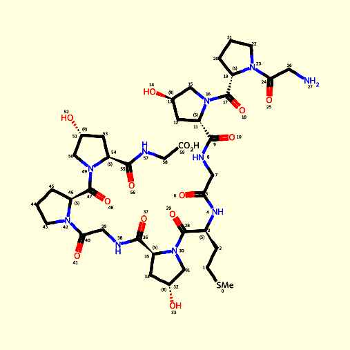 CSCC[C@H](NC(=O)CNC(=O)[C@@H]1C[C@@H](O)CN1C(=O)[C@@H]1CCCN1C(=O)CN)C(=O)N1C[C@H](O)C[C@H]1C(=O)NCC(=O)N1CCC[C@H]1C(=O)N1C[C@H](O)C[C@H]1C(=O)NCC(=O)O